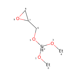 CCO[SiH](OCC)OCC1CO1